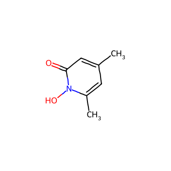 Cc1cc(C)n(O)c(=O)c1